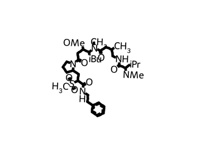 CCC(C)C(C(CC(=O)N1CCCC1CC(C(=O)NCCc1ccccc1)S(C)(=O)=O)OC)N(C)C(=O)CC(C)CNC(=O)C(NC)C(C)C